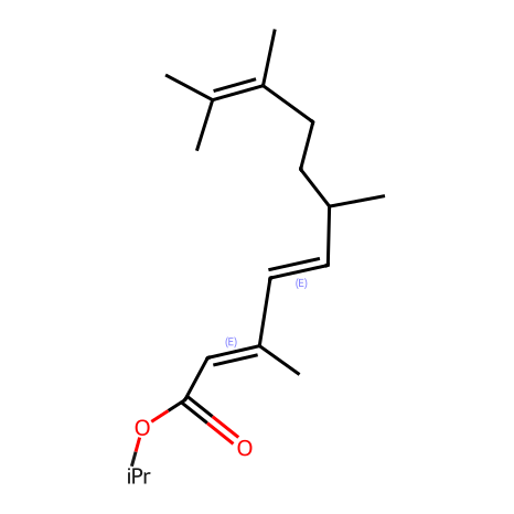 CC(C)=C(C)CCC(C)/C=C/C(C)=C/C(=O)OC(C)C